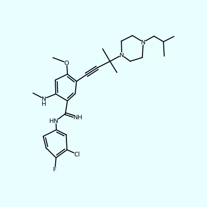 CNc1cc(OC)c(C#CC(C)(C)N2CCN(CC(C)C)CC2)cc1C(=N)Nc1ccc(F)c(Cl)c1